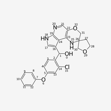 OC(c1ccc(Oc2ccccc2)cc1Cl)c1c[nH]c2ncc3c(c12)NC1(CCOC1)CO3